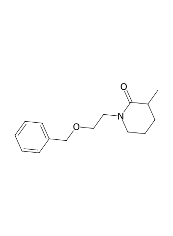 CC1CCCN(CCOCc2ccccc2)C1=O